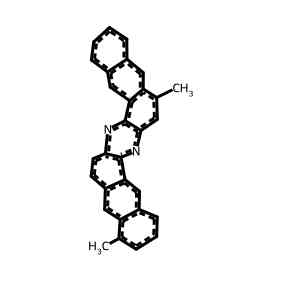 Cc1cccc2cc3c(ccc4nc5c(cc(C)c6cc7ccccc7cc65)nc43)cc12